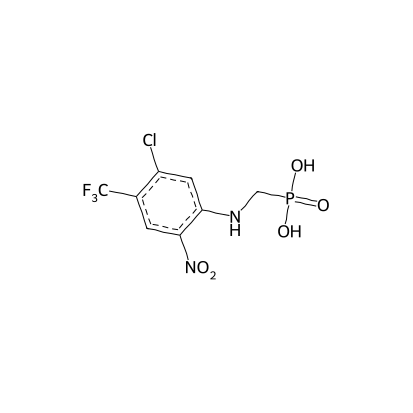 O=[N+]([O-])c1cc(C(F)(F)F)c(Cl)cc1NCP(=O)(O)O